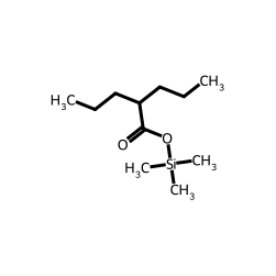 CCCC(CCC)C(=O)O[Si](C)(C)C